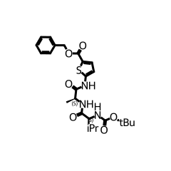 CC(C)[C@H](NC(=O)OC(C)(C)C)C(=O)N[C@@H](C)C(=O)Nc1ccc(C(=O)OCc2ccccc2)s1